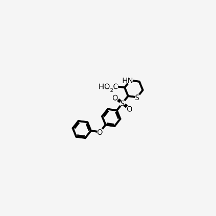 O=C(O)C1NCCSC1S(=O)(=O)c1ccc(Oc2ccccc2)cc1